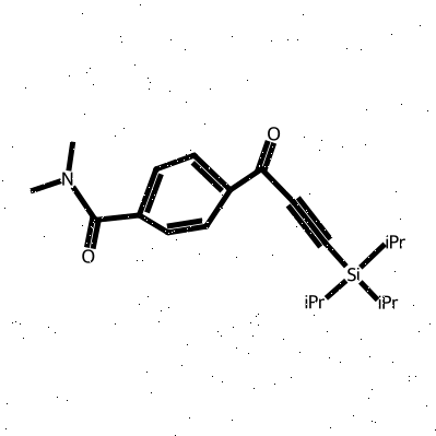 CC(C)[Si](C#CC(=O)c1ccc(C(=O)N(C)C)cc1)(C(C)C)C(C)C